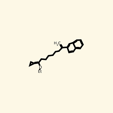 C=C(CCCCCCC(OCC)=C1CC1)c1ccc2ccccc2c1